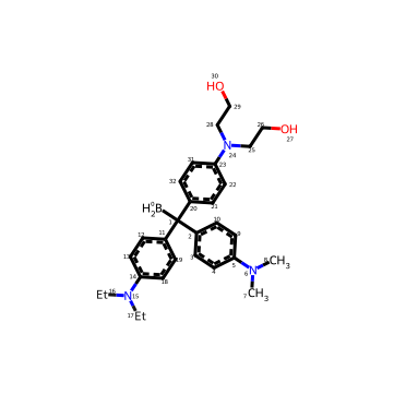 BC(c1ccc(N(C)C)cc1)(c1ccc(N(CC)CC)cc1)c1ccc(N(CCO)CCO)cc1